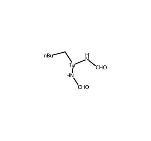 CCCC[CH2][Ta]([NH]C=O)[NH]C=O